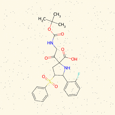 CC(C)(C)OC(=O)NCC(=O)C1(C(=O)O)CC(S(=O)(=O)c2ccccc2)C(c2ccccc2F)N1